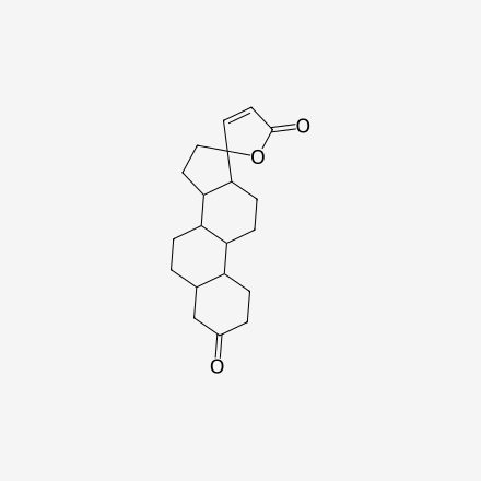 O=C1CCC2C(CCC3C2CCC2C3CCC23C=CC(=O)O3)C1